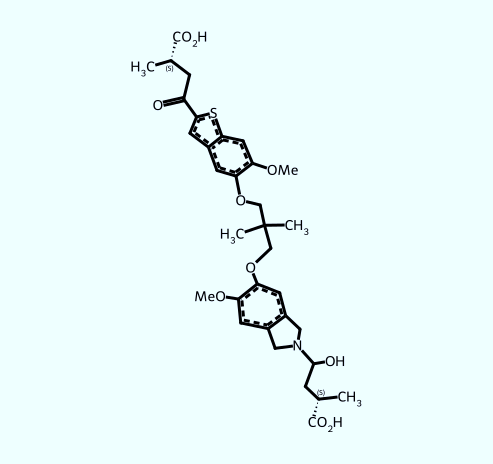 COc1cc2c(cc1OCC(C)(C)COc1cc3cc(C(=O)C[C@H](C)C(=O)O)sc3cc1OC)CN(C(O)C[C@H](C)C(=O)O)C2